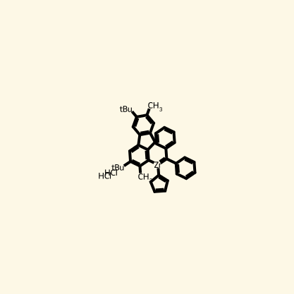 Cc1cc2c(cc1C(C)(C)C)-c1cc(C(C)(C)C)c(C)[c]([Zr]([C]3=CC=CC3)=[C](c3ccccc3)c3ccccc3)c1C2.Cl.Cl